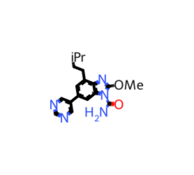 COc1nc2c(CCC(C)C)cc(-c3cncnc3)cc2n1C(N)=O